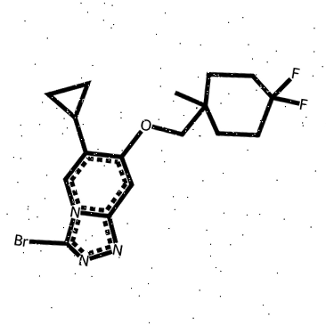 CC1(COc2cc3nnc(Br)n3cc2C2CC2)CCC(F)(F)CC1